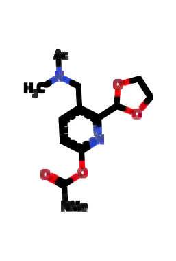 CNC(=O)Oc1ccc(CN(C)C(C)=O)c(C2OCCO2)n1